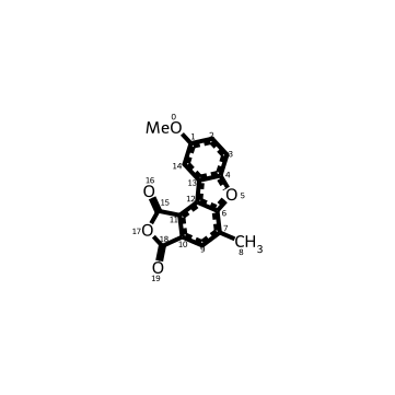 COc1ccc2oc3c(C)cc4c(c3c2c1)C(=O)OC4=O